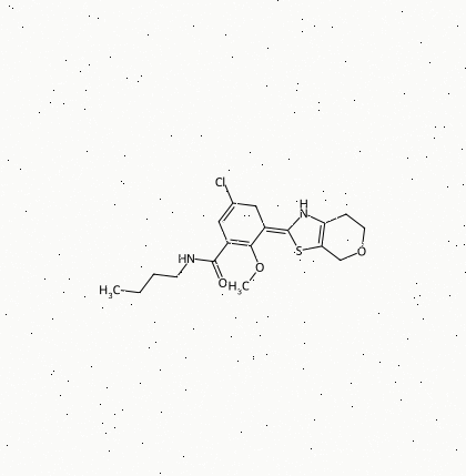 CCCCNC(=O)C1=C(OC)/C(=C2/NC3=C(COCC3)S2)CC(Cl)=C1